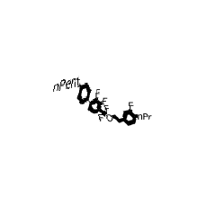 CCCCC[C@H]1CC[C@H](c2ccc(C(F)(F)OCCc3ccc(CCC)c(F)c3)c(F)c2F)CC1